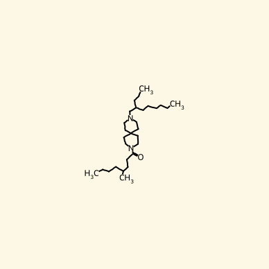 CCCCCCC(CCC)CN1CCC2(CC1)CCN(C(=O)CCC(C)CCCC)CC2